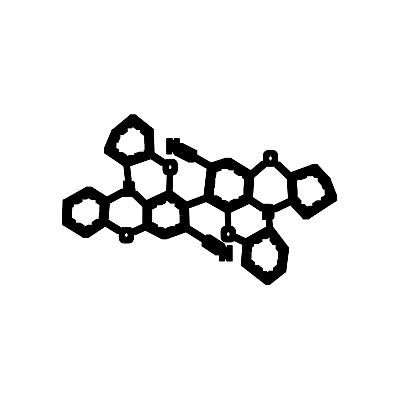 N#Cc1cc2c3c(c1-c1c(C#N)cc4c5c1Oc1ccccc1B5c1ccccc1O4)Oc1ccccc1B3c1ccccc1O2